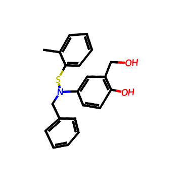 Cc1ccccc1SN(Cc1ccccc1)c1ccc(O)c(CO)c1